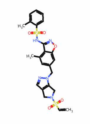 C=CS(=O)(=O)N1Cc2cnn(Cc3cc(C)c4c(NS(=O)(=O)c5ccccc5C)noc4c3)c2C1